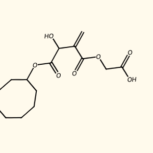 C=C(C(=O)OCC(=O)O)C(O)C(=O)OC1CCCCCCC1